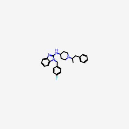 CC(Cc1ccccc1)N1CCC(Nc2nc3ccccc3n2Cc2ccc(F)cc2)CC1